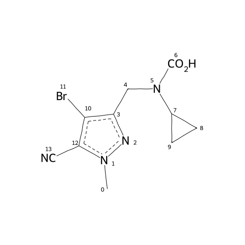 Cn1nc(CN(C(=O)O)C2CC2)c(Br)c1C#N